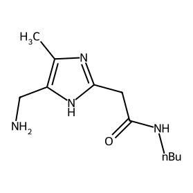 CCCCNC(=O)Cc1nc(C)c(CN)[nH]1